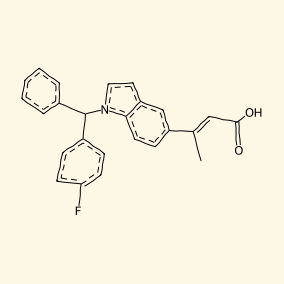 CC(=CC(=O)O)c1ccc2c(ccn2C(c2ccccc2)c2ccc(F)cc2)c1